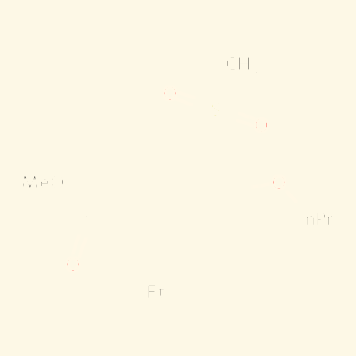 CCCOc1cc(CC)c(C(=O)OC)cc1S(C)(=O)=O